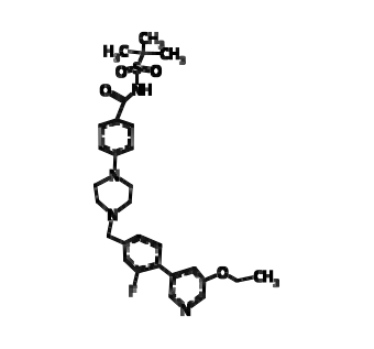 CCOc1cncc(-c2ccc(CN3CCN(c4ccc(C(=O)NS(=O)(=O)C(C)(C)C)cc4)CC3)cc2F)c1